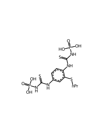 CCCSc1cc(NC(=S)NP(=O)(O)O)ccc1NC(=S)NP(=O)(O)O